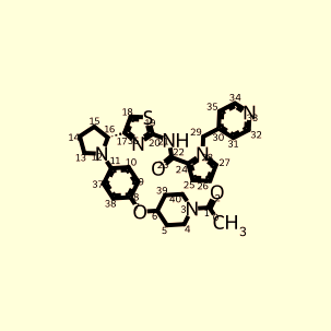 CC(=O)N1CCC(Oc2ccc(N3CCC[C@@H]3c3csc(NC(=O)c4cccn4Cc4ccncc4)n3)cc2)CC1